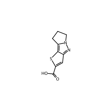 O=C(O)c1cc2nn3c(c2s1)CCC3